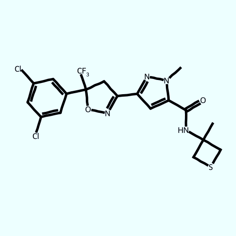 Cn1nc(C2=NOC(c3cc(Cl)cc(Cl)c3)(C(F)(F)F)C2)cc1C(=O)NC1(C)CSC1